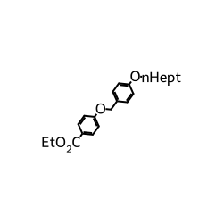 CCCCCCCOc1ccc(COc2ccc(C(=O)OCC)cc2)cc1